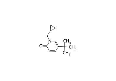 CC(C)(C)c1ccc(=O)n(CC2CC2)c1